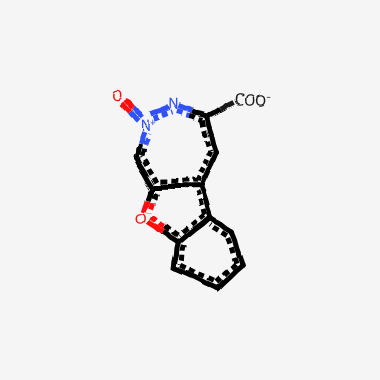 O=C([O-])c1cc2c(c[n+](=O)n1)oc1ccccc12